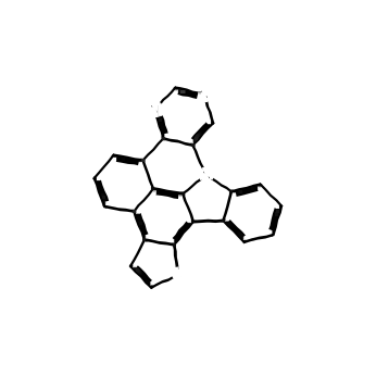 c1cc2c3ccsc3c3c4ccccc4n4c5cncnc5c(c1)c2c34